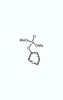 CO[Si](Cl)(OC)Oc1ccccc1